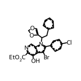 CCOC(=O)c1ncc2c(c1O)c(Br)c(-c1ccc(Cl)cc1)n2C(Cc1ccccc1)C1=COCO1